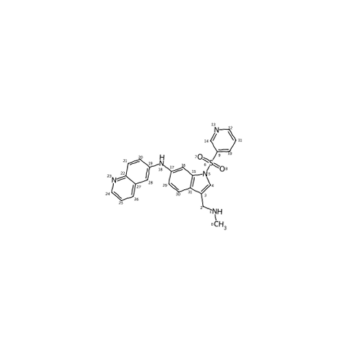 CNCc1cn(S(=O)(=O)c2cccnc2)c2cc(Nc3ccc4ncccc4c3)ccc12